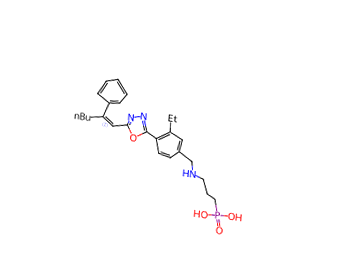 CCCC/C(=C/c1nnc(-c2ccc(CNCCCP(=O)(O)O)cc2CC)o1)c1ccccc1